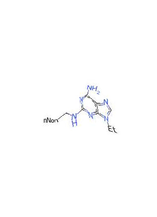 CCCCCCCCCCNc1nc(N)c2ncn(CC)c2n1